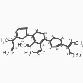 C=CC1=C(C2C=CC=C(C(C)C=C)C2)CCC(C2CC=C(/C(=C/C)CC(C)CC)CC2)=C1/C=C\C